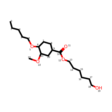 CCCCCOC1CCC(C(=O)OCCCCCCO)CC1OC